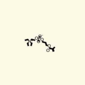 C=C(C)C(=O)OCCCOP(=O)([O-])OCC[N+](CC)(CC)CC